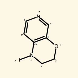 IN1CCOc2cnccc21